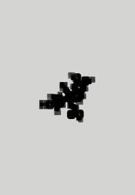 COC(=O)CCc1c(-c2cc(C)c(O)c(C)c2)c(C#N)c2n1CCc1cc(OC)c(OC)cc1-2